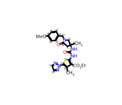 CCOC(=O)c1c(NC(=O)NC2(C)CC(=O)N(Cc3ccc(OC)cc3)C2)sc(-n2nccn2)c1C